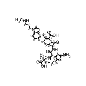 CNCCCn1cnc2c1ccc[n+]2CC1=C(C(=O)O)N2C(=O)C(NC(=O)/C(=N\OC(C)(C)C(=O)O)c3nc(N)sc3Cl)C2SC1